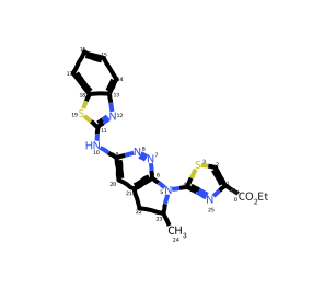 CCOC(=O)c1csc(N2c3nnc(Nc4nc5ccccc5s4)cc3CC2C)n1